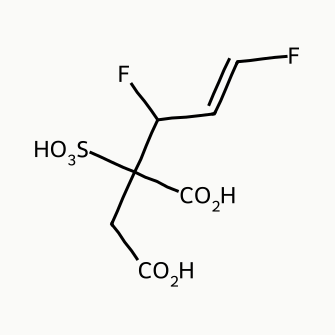 O=C(O)CC(C(=O)O)(C(F)C=CF)S(=O)(=O)O